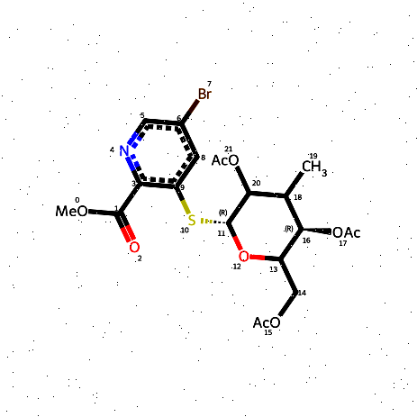 COC(=O)c1ncc(Br)cc1S[C@H]1OC(COC(C)=O)[C@H](OC(C)=O)C(C)C1OC(C)=O